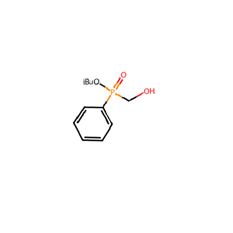 CC(C)COP(=O)(CO)c1ccccc1